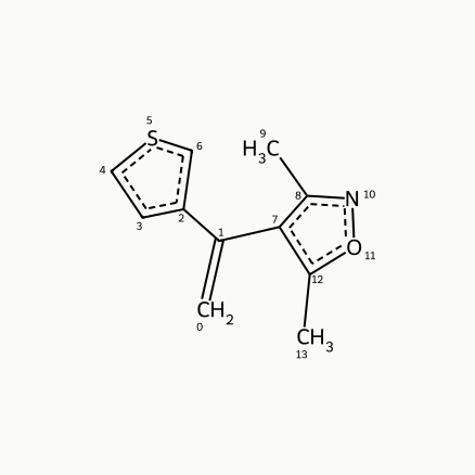 C=C(c1ccsc1)c1c(C)noc1C